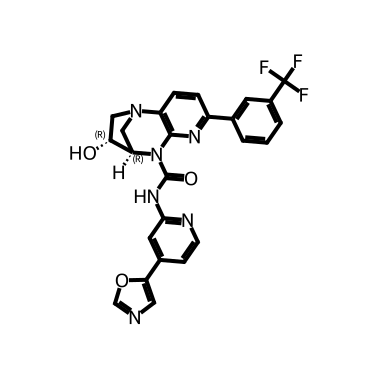 O=C(Nc1cc(-c2cnco2)ccn1)N1c2nc(-c3cccc(C(F)(F)F)c3)ccc2N2C[C@@H](O)[C@H]1C2